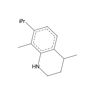 Cc1c(C(C)C)ccc2c1NCCC2C